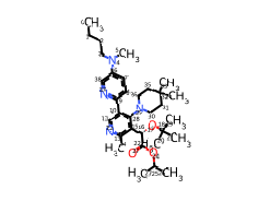 CCCCN(C)c1ccc(-c2cnc(C)c([C@H](OC(C)(C)C)C(=O)OC(C)C)c2N2CCC(C)(C)CC2)nc1